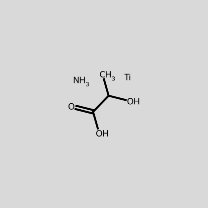 CC(O)C(=O)O.N.[Ti]